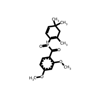 COc1ccc(C(=O)[PH](=O)C2=C(C)CC(C)(C)C=C2)c(OC)c1